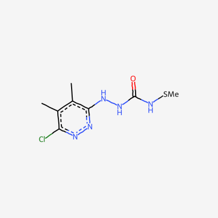 CSNC(=O)NNc1nnc(Cl)c(C)c1C